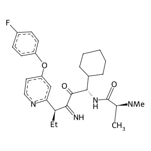 CC[C@H](C(=N)C(=O)[C@@H](NC(=O)[C@H](C)NC)C1CCCCC1)c1cc(Oc2ccc(F)cc2)ccn1